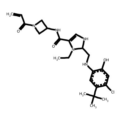 C=CC(=O)N1CC(NC(=O)C2=CNC(CNc3cc(C(C)(C)C)c(Cl)cc3O)N2CC)C1